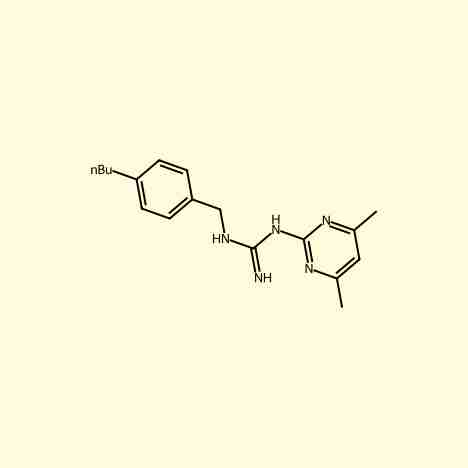 CCCCc1ccc(CNC(=N)Nc2nc(C)cc(C)n2)cc1